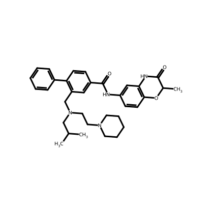 CC(C)CN(CCN1CCCCC1)Cc1cc(C(=O)Nc2ccc3c(c2)NC(=O)C(C)O3)ccc1-c1ccccc1